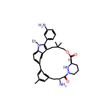 CCn1c(-c2cccc(N)c2)c2c3cc(ccc31)-c1cc(C)cc(c1)C[C@H](N)C(=O)N1CCC[C@H](N1)C(=O)OCC(C)(C)C2